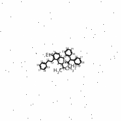 C=C(C)C1Cc2c(ccc(CC)c2CCc2ccccc2)CN1C(=C)C(c1ccccc1)c1ccccc1